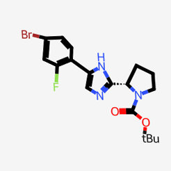 CC(C)(C)OC(=O)N1CCC[C@H]1c1ncc(-c2ccc(Br)cc2F)[nH]1